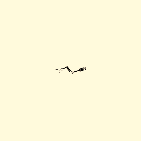 [CH2]/C=N/C#N